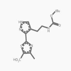 Cc1nc(-c2n[nH]cc2CCNC(=O)OC(C)(C)C)sc1C(=O)O